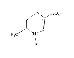 O=S(=O)(O)C1=CN(F)C(C(F)(F)F)=CC1